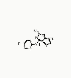 FC1=CCC(Nc2nc(Cl)nc3[nH]cnc23)CC1